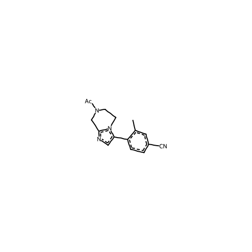 CC(=O)N1CCn2c(-c3ccc(C#N)cc3C)cnc2C1